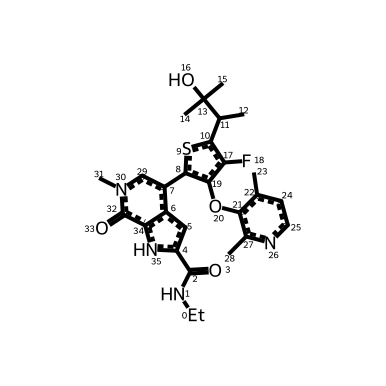 CCNC(=O)c1cc2c(-c3sc(C(C)C(C)(C)O)c(F)c3Oc3c(C)ccnc3C)cn(C)c(=O)c2[nH]1